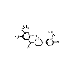 COc1cc(C)c(C(C)N2CCN(c3ccc(Cl)c(OC)c3)CC2)cc1C